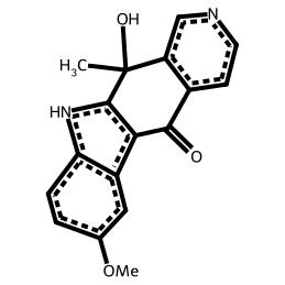 COc1ccc2[nH]c3c(c2c1)C(=O)c1ccncc1C3(C)O